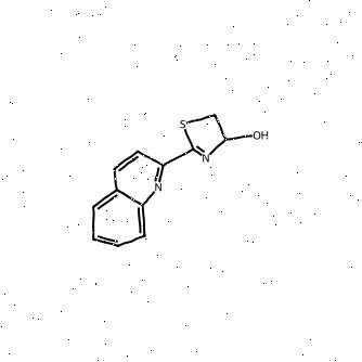 OC1CSC(c2ccc3ccccc3n2)=N1